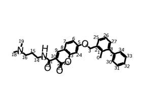 Cc1c(COc2ccc3cc(C(=O)NCCCN(C)C)c(=O)oc3c2)cccc1-c1ccccc1